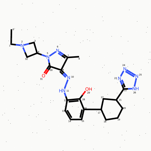 CCN1CC(N2N=C(C)C(=NNc3cccc(C4CCCC(c5nnn[nH]5)C4)c3O)C2=O)C1